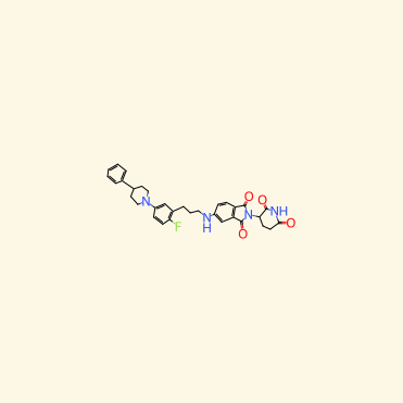 O=C1CCC(N2C(=O)c3ccc(NCCCc4cc(N5CCC(c6ccccc6)CC5)ccc4F)cc3C2=O)C(=O)N1